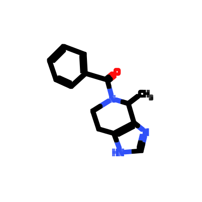 CC1c2nc[nH]c2CCN1C(=O)c1ccccc1